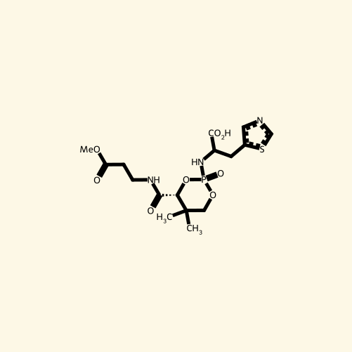 COC(=O)CCNC(=O)[C@@H]1OP(=O)(NC(Cc2cncs2)C(=O)O)OCC1(C)C